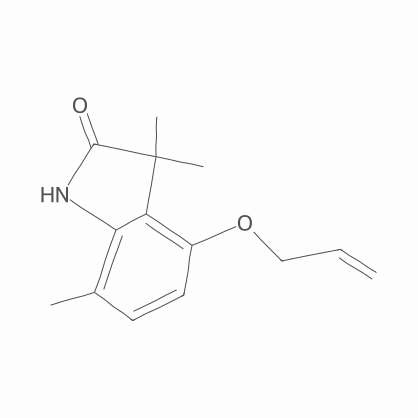 C=CCOc1ccc(C)c2c1C(C)(C)C(=O)N2